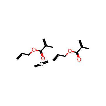 C=C=C.C=CCOC(=O)C(=C)C.C=CCOC(=O)C(=C)C